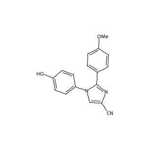 COc1ccc(-c2nc(C#N)cn2-c2ccc(O)cc2)cc1